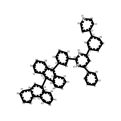 c1ccc(-c2cc(-c3cccc(-c4ccncc4)c3)nc(-c3cccc(-c4c5ccccc5c(-c5cc6ccccc6c6ccccc56)c5ccccc45)c3)n2)cc1